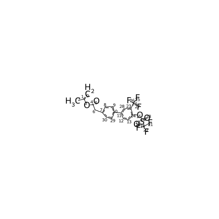 C=C(C)OC(=O)Cc1ccc(-c2ccc(OS(=O)(=O)C(F)(F)F)c(C(F)(F)F)c2)cc1